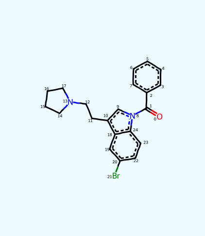 O=C(c1ccccc1)n1cc(CCN2CCCC2)c2cc(Br)ccc21